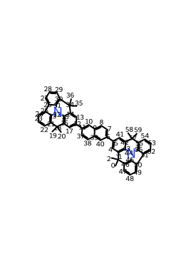 CC1(C)c2cc(-c3ccc4cc(-c5cc6c7c(c5)C(C)(C)c5cccc8c9cccc(c9n-7c58)C6(C)C)ccc4c3)cc3c2-n2c4c1cccc4c1cccc(c12)C3(C)C